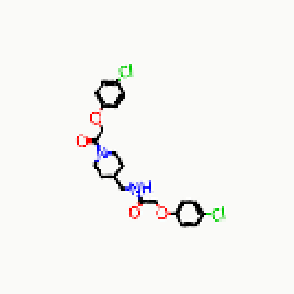 O=C(COc1ccc(Cl)cc1)NCC1CCN(C(=O)COc2ccc(Cl)cc2)CC1